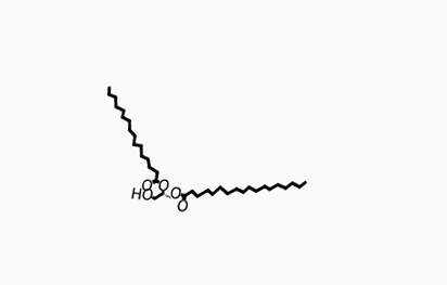 CCCCCCCCCCCCCCCCCC(=O)OC[C@H](CO)OC(=O)CCCCCCCCCCCCCCC